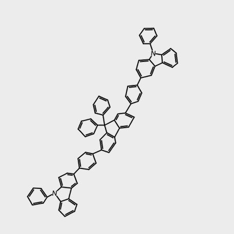 c1ccc(-n2c3ccccc3c3cc(-c4ccc(-c5ccc6c(c5)C(c5ccccc5)(c5ccccc5)c5cc(-c7ccc(-c8ccc9c(c8)c8ccccc8n9-c8ccccc8)cc7)ccc5-6)cc4)ccc32)cc1